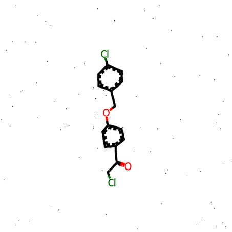 O=C(CCl)c1ccc(OCc2ccc(Cl)cc2)cc1